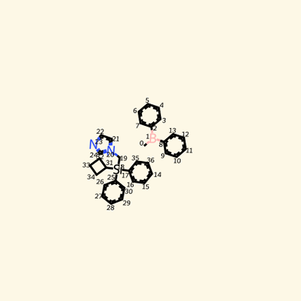 CB(c1ccccc1)c1ccccc1.c1ccc([Si](Cn2ccnc2)(c2ccccc2)C2CCC2)cc1